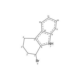 BrC1CCCc2c1[nH]c1ccccc21